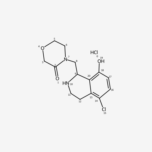 Cl.O=C1COCCN1CC1NCCc2c(Cl)ccc(O)c21